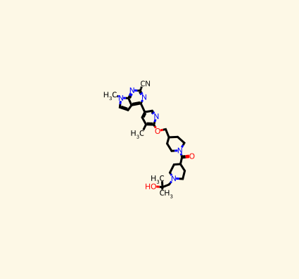 Cc1cc(-c2nc(C#N)nc3c2ccn3C)cnc1OCC1CCN(C(=O)C2CCN(CC(C)(C)O)CC2)CC1